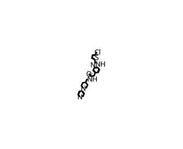 O=C(Cc1ccc2[nH]c(-c3ccc(Cl)s3)nc2c1)NCC1CCN(c2ccncc2)CC1